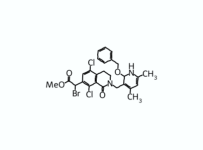 COC(=O)C(Br)c1cc(Cl)c2c(c1Cl)C(=O)N(CC1=C(C)C=C(C)NC1OCc1ccccc1)CC2